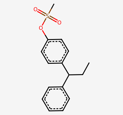 CCC(c1ccccc1)c1ccc(OS(C)(=O)=O)cc1